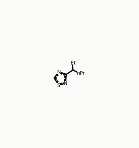 CCCC(CC)c1ncsn1